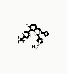 Cn1cnc(C(=O)N(Cc2ccc(F)c(-c3cnc(C(F)(F)F)cn3)c2)C2CCC2)c1